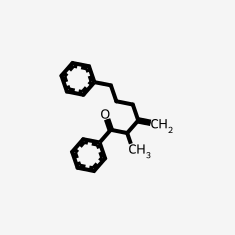 C=C(CCCc1ccccc1)C(C)C(=O)c1ccccc1